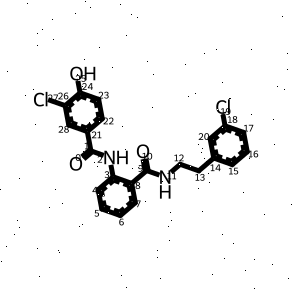 O=C(Nc1ccccc1C(=O)NCCc1cccc(Cl)c1)c1ccc(O)c(Cl)c1